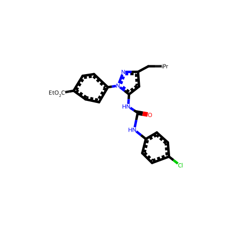 CCOC(=O)c1ccc(-n2nc(CC(C)C)cc2NC(=O)Nc2ccc(Cl)cc2)cc1